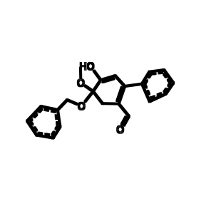 COC1(OCc2ccccc2)CC(C=O)=C(c2ccccc2)C=C1O